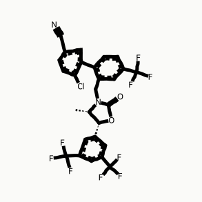 C[C@H]1[C@@H](c2cc(C(F)(F)F)cc(C(F)(F)F)c2)OC(=O)N1Cc1cc(C(F)(F)F)ccc1-c1cc(C#N)ccc1Cl